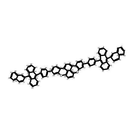 c1ccc2cc(-c3c4ccccc4c(-c4ccc(-c5ccc6c(c5)Oc5ccc7c8c(ccc-6c58)-c5ccc(-c6ccc(-c8c9ccccc9c(-c9ccc%10ccccc%10c9)c9ccccc89)cc6)cc5O7)cc4)c4ccccc34)ccc2c1